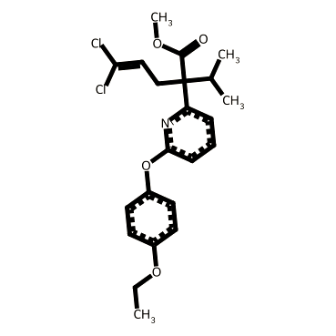 CCOc1ccc(Oc2cccc(C(CC=C(Cl)Cl)(C(=O)OC)C(C)C)n2)cc1